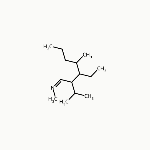 CCCC(C)C(CC)C(/C=N\C)C(C)C